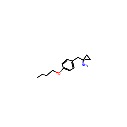 CCCCOc1ccc(CC2(N)CC2)cc1